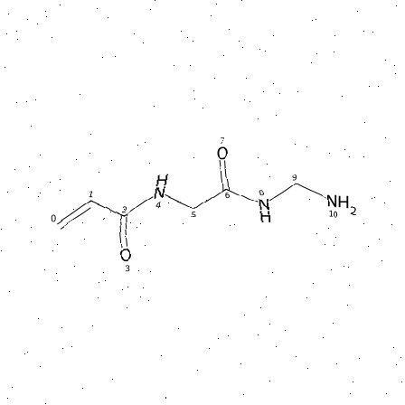 C=CC(=O)NCC(=O)NCN